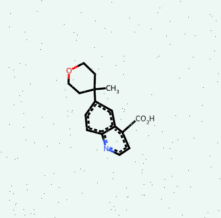 CC1(c2ccc3nccc(C(=O)O)c3c2)CCOCC1